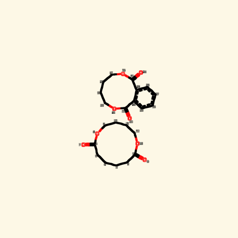 O=C1CCCCC(=O)OCCCCO1.O=C1OCCCCOC(=O)c2ccccc21